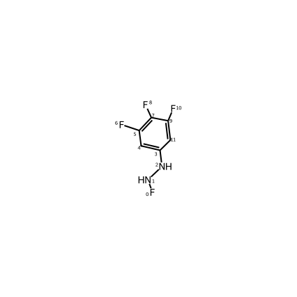 FNNc1cc(F)c(F)c(F)c1